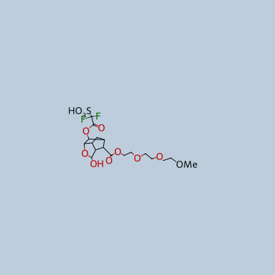 COCCOCCOCCOC(=O)C1C2CC3C(OC(O)C31)C2OC(=O)C(F)(F)S(=O)(=O)O